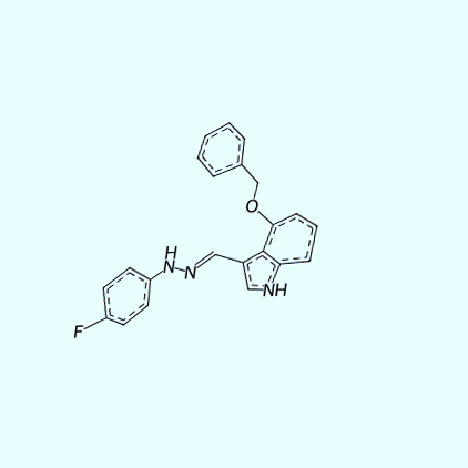 Fc1ccc(NN=Cc2c[nH]c3cccc(OCc4ccccc4)c23)cc1